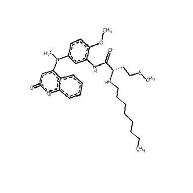 CCCCCCCCN[C@@H](CCSC)C(=O)Nc1cc(N(C)c2cc(=O)oc3ccccc23)ccc1OC